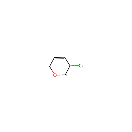 ClC1[C]OCC=C1